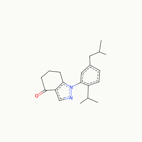 CC(C)Cc1ccc(C(C)C)c(-n2ncc3c2CCCC3=O)c1